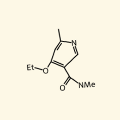 CCOc1cc(C)ncc1C(=O)NC